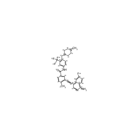 Cc1ccc(C(=O)Nc2ccc(CN3CCN(C)CC3)c(C(F)(F)F)c2)cc1C#Cc1cnc(N)c2ccc(F)cc12